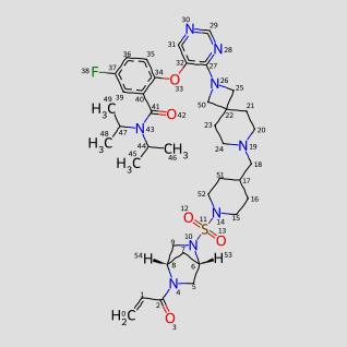 C=CC(=O)N1C[C@@H]2C[C@H]1CN2S(=O)(=O)N1CCC(CN2CCC3(CC2)CN(c2ncncc2Oc2ccc(F)cc2C(=O)N(C(C)C)C(C)C)C3)CC1